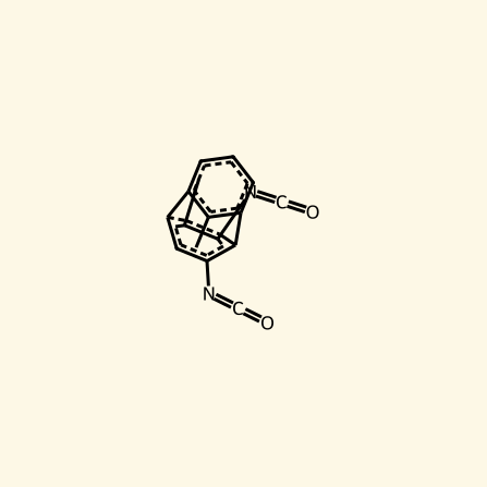 Cc1c2cccc1-c1c(N=C=O)cc-2c(C)c1N=C=O